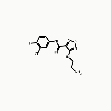 N=C(Nc1ccc(F)c(Cl)c1)c1nonc1NCCN